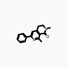 Cc1nc(-c2ccccc2)cc2c1C(=O)N(C)CC2